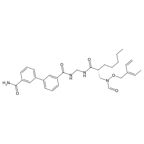 C=C/C(=C\C)CON(C=O)C[C@@H](CCCCC)C(=O)NCNC(=O)c1cccc(-c2cccc(C(N)=O)c2)c1